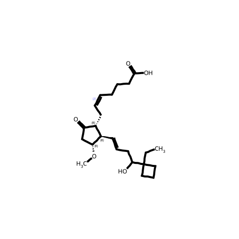 CCC1(C(O)CC=C[C@H]2[C@H](OC)CC(=O)[C@@H]2C/C=C\CCCC(=O)O)CCC1